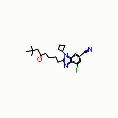 CC(C)(C)CC(=O)CCCCc1nc2c(F)cc(C#N)cc2n1C1CCC1